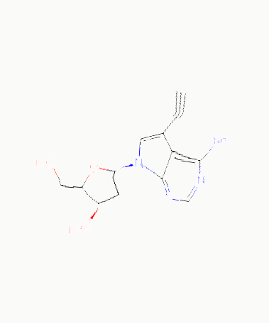 C#Cc1cn([C@H]2C[C@@H](O)C(CO)O2)c2ncnc(N)c12